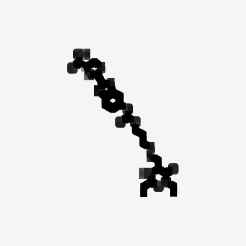 CCOC(=O)C(CSSCCCOC(=O)Oc1ccc2nc(C3=N[C@@H](C(=O)O)CS3)sc2c1)NC(=O)CC